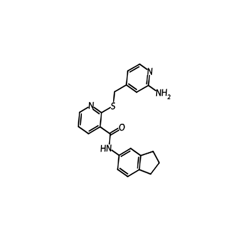 Nc1cc(CSc2ncccc2C(=O)Nc2ccc3c(c2)CCC3)ccn1